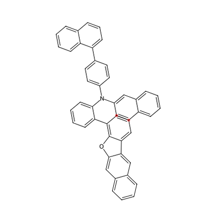 c1ccc(N(c2ccc(-c3cccc4ccccc34)cc2)c2ccc3ccccc3c2)c(-c2cccc3c2oc2cc4ccccc4cc23)c1